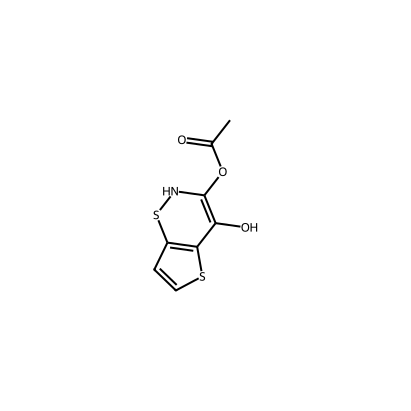 CC(=O)OC1=C(O)c2sccc2SN1